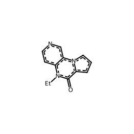 CCn1c(=O)c2cccn2c2cnccc21